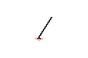 CCCCCCCCCCCCCCC/C=C/CC1C(=O)OC1=O